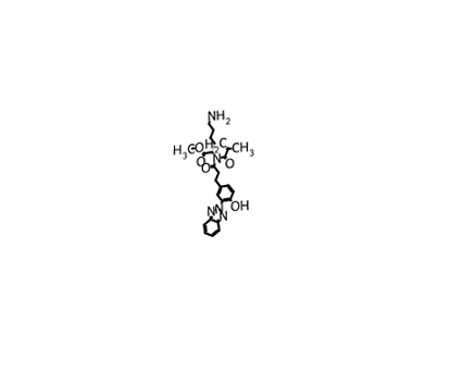 C=C(C)C(=O)N(C(=O)CCc1ccc(O)c(-n2nc3ccccc3n2)c1)[C@@H](CCCCN)C(=O)OC